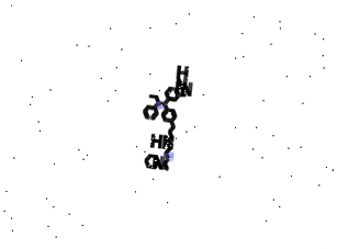 C=C(/C=C/CNCCCc1ccc(/C(=C(/CC)c2ccccc2)c2ccc3[nH]ncc3c2)cc1)N1CCCCC1